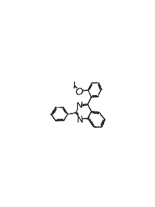 IOc1ccccc1-c1nc(-c2ccccc2)nc2ccccc12